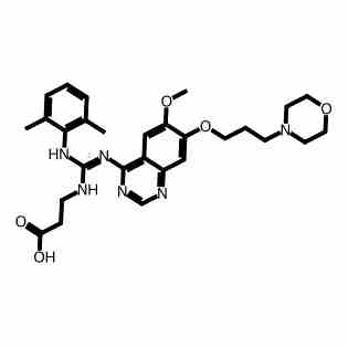 COc1cc2c(/N=C(\NCCC(=O)O)Nc3c(C)cccc3C)ncnc2cc1OCCCN1CCOCC1